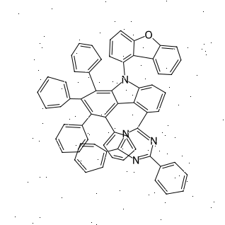 c1ccc(-c2nc(-c3ccccc3)nc(-c3cccc4c3c3c(-c5ccccc5)c(-c5ccccc5)c(-c5ccccc5)c(-c5ccccc5)c3n4-c3cccc4oc5ccccc5c34)n2)cc1